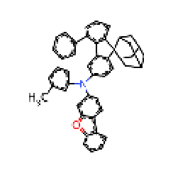 Cc1cccc(N(c2ccc3c(c2)-c2c(-c4ccccc4)cccc2C32C3CC4CC(C3)CC2C4)c2ccc3c(c2)oc2ccccc23)c1